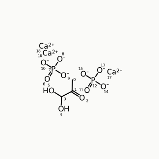 CC(=O)C(O)O.O=P([O-])([O-])[O-].O=P([O-])([O-])[O-].[Ca+2].[Ca+2].[Ca+2]